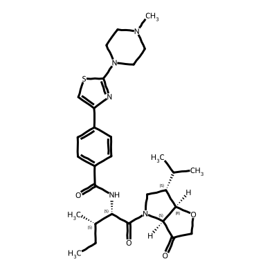 CC[C@H](C)[C@H](NC(=O)c1ccc(-c2csc(N3CCN(C)CC3)n2)cc1)C(=O)N1C[C@H](C(C)C)[C@H]2OCC(=O)[C@H]21